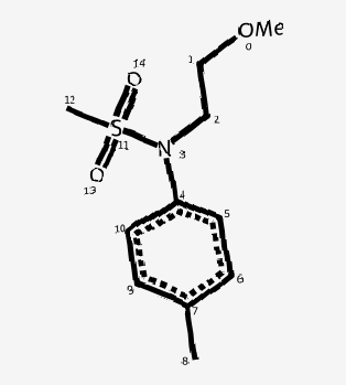 COCCN(c1ccc(C)cc1)S(C)(=O)=O